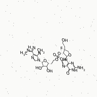 C=Nc1c(/C(N)=N\C)ncn1[C@@H]1O[C@H](CCOP(=O)(O)O[C@H]2[C@H](n3cnc4c(=O)[nH]c(N)nc43)OC[C@]2(F)CCO)[C@@H](O)[C@H]1O